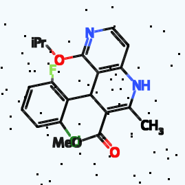 COC(=O)C1=C(C)Nc2ccnc(OC(C)C)c2C1c1c(F)cccc1Cl